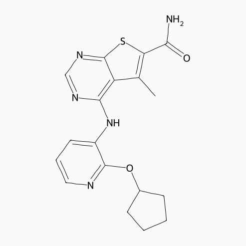 Cc1c(C(N)=O)sc2ncnc(Nc3cccnc3OC3CCCC3)c12